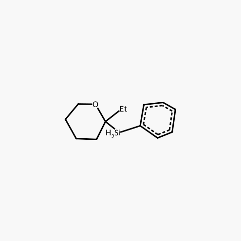 CCC1([SiH2]c2ccccc2)CCCCO1